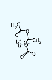 CC(=O)OC(C)=O.O=C([O-])[O-].[Li+].[Li+]